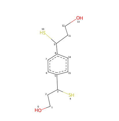 OCCC(S)c1ccc(C(S)CCO)cc1